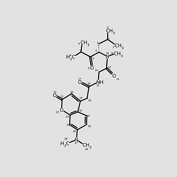 CC(C)C[C@@H](C(=O)C(C)C)N(C)C(=O)CNC(=O)Cc1cc(=O)oc2cc(N(C)C)ccc12